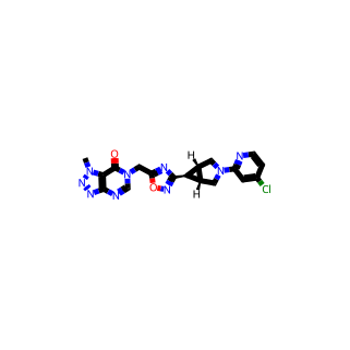 Cn1nnc2ncn(Cc3nc([C@H]4[C@@H]5CN(c6cc(Cl)ccn6)C[C@@H]54)no3)c(=O)c21